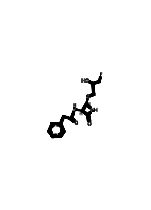 O=C(Cc1ccccc1)N[C@@H]1C(=O)N[C@@H]1SCC(O)CF